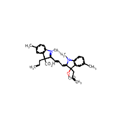 C=CCC1(C(=O)O)C(/C=C/C=C2\N(C)c3ccc(C)cc3C2(CC=C)OC=O)=[N+](C)c2ccc(C)cc21